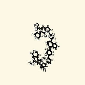 COC(=O)N[C@H](C(=O)N1C(C)CC[C@H]1c1ncc(-c2ccc(-c3ccc(-c4cnc([C@@H]5C[C@H]6C[C@H]6N5C(=O)[C@@H](NC(=O)OC)C5CCOCC5)[nH]4)cc3)c3c2CCC3)[nH]1)C1CCOCC1